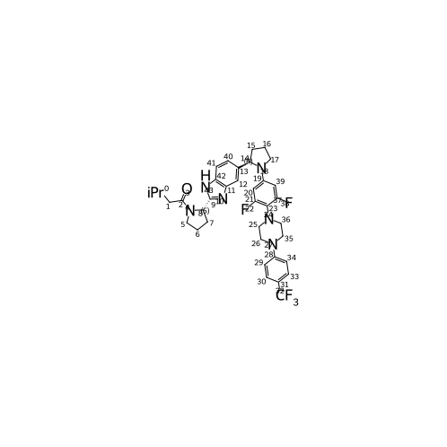 CC(C)CC(=O)N1CCC[C@H]1c1nc2cc([C@H]3CCCN3c3cc(F)c(N4CCN(c5ccc(C(F)(F)F)cc5)CC4)c(F)c3)ccc2[nH]1